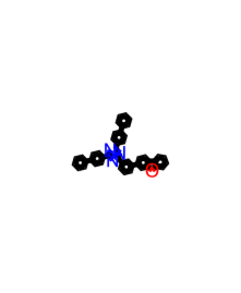 c1ccc(-c2ccc(-c3nc(-c4ccc(-c5ccccc5)cc4)nc(-c4cccc(-c5ccc6c(c5)oc5ccccc56)c4)n3)cc2)cc1